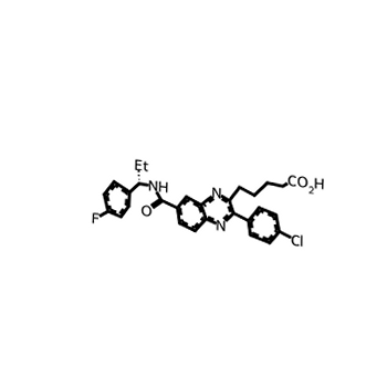 CC[C@H](NC(=O)c1ccc2nc(-c3ccc(Cl)cc3)c(CCCCC(=O)O)nc2c1)c1ccc(F)cc1